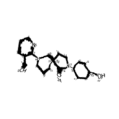 C#Cc1cccnc1N1CCC[C@]2(CCN([C@H]3CC[C@H](O)CC3)C2=O)C1